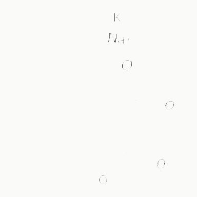 O=C([O-])C(C(=O)[O-])C1CCCCC1.[K+].[Na+]